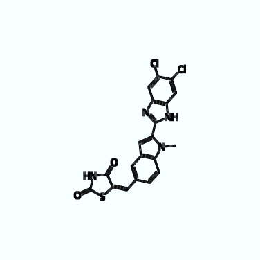 Cn1c(-c2nc3cc(Cl)c(Cl)cc3[nH]2)cc2cc(C=C3SC(=O)NC3=O)ccc21